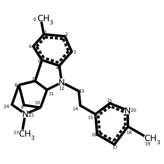 Cc1ccc2c(c1)C1C3CC(C1N2CCc1ccc(C)nc1)N(C)C3